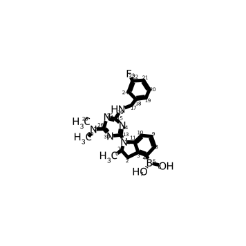 CC1Cc2c(B(O)O)cccc2N1c1nc(NCc2cccc(F)c2)nc(N(C)C)n1